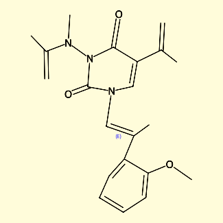 C=C(C)c1cn(/C=C(\C)c2ccccc2OC)c(=O)n(N(C)C(=C)C)c1=O